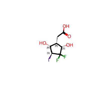 O=C(O)C[C@H]1[C@@H](O)[C@H](I)C(F)(F)[C@H]1O